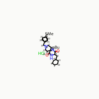 CCCCN1C(=O)C(CC2CCCCC2)NC(=O)C12CCN(Cc1ccc(SC)cc1)CC2.Cl